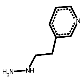 NNCCc1cccnc1